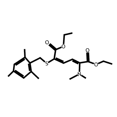 CCOC(=O)C(=CC=C(C(=O)OCC)N(C)C)SCc1c(C)cc(C)cc1C